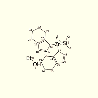 CCO.C[Si](C)=[Zr]([CH3])([CH]1C=CC2=C1CCCC2)[CH]1C=CC2=C1CCCC2